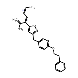 C=C(N)/C(=C\C=C/C)c1cc(Cc2ccc(OCCc3ccccc3)nc2)no1